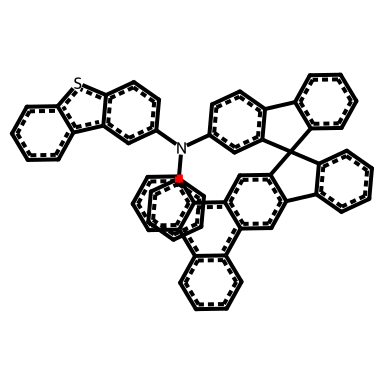 c1ccc(N(c2ccc3c(c2)C2(c4ccccc4-3)c3ccccc3-c3cc4c5ccccc5c5ccccc5c4cc32)c2ccc3sc4ccccc4c3c2)cc1